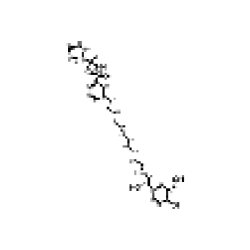 CC(C)(NS(=O)(=O)c1cccc(CCCCOCCCCCCNC[C@@H](O)c2ccc(O)c(CO)c2)c1)c1ccccc1